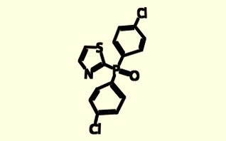 O=P(c1ccc(Cl)cc1)(c1ccc(Cl)cc1)c1nccs1